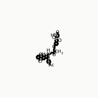 CC(=O)N1CCN(c2nc(NCCC(=O)N(C)CCOc3ccc4c(c3)CN(C3CCC(=O)NC3=O)C4=O)nc3c(F)c(-c4c(O)cccc4F)c(Cl)cc23)CC1